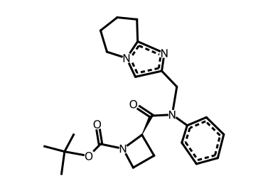 CC(C)(C)OC(=O)N1CC[C@@H]1C(=O)N(Cc1cn2c(n1)CCCC2)c1ccccc1